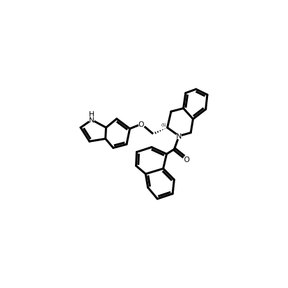 O=C(c1cccc2ccccc12)N1Cc2ccccc2C[C@H]1COC1=CC2NC=CC2C=C1